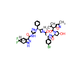 Cc1cc(C(C(=O)N2C[C@H](O)C[C@H]2C(=O)N[C@@H](CC(=O)N2CC([C@H](c3ccccc3)n3cc(NC(=O)c4n[nH]c5c4C[C@H]4C(F)(F)[C@@]4(C)C5)cn3)C2)c2ccc(Br)cc2)C(C)C)on1